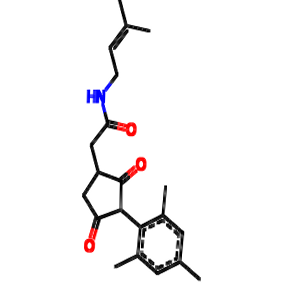 CC(C)=CCNC(=O)CC1CC(=O)C(c2c(C)cc(C)cc2C)C1=O